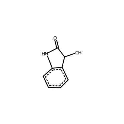 [CH]C1C(=O)Nc2ccccc21